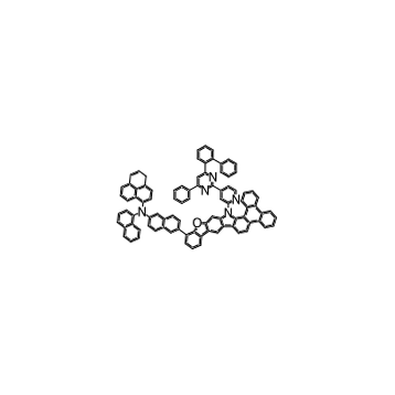 C1=Cc2cccc3c(N(c4ccc5cc(-c6cccc7c6oc6cc8c(cc67)c6ccc7c9ccccc9c9ccccc9c7c6n8-c6cc(-c7nc(-c8ccccc8)cc(-c8ccccc8-c8ccccc8)n7)ccn6)ccc5c4)c4cccc5ccccc45)ccc(c23)C1